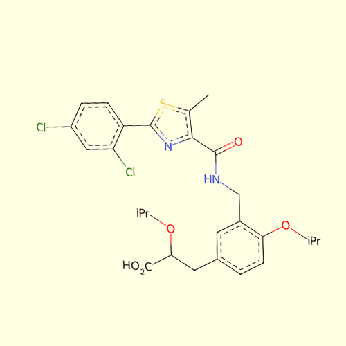 Cc1sc(-c2ccc(Cl)cc2Cl)nc1C(=O)NCc1cc(CC(OC(C)C)C(=O)O)ccc1OC(C)C